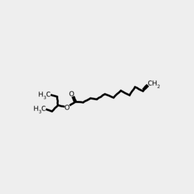 C=CCCCCCCCCC(=O)OC(CC)CC